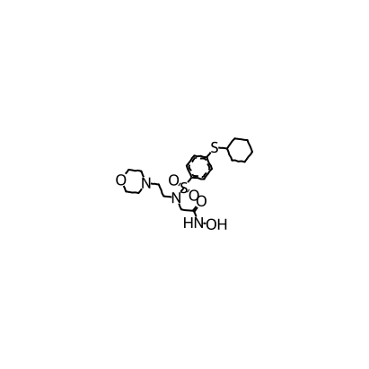 O=C(CN(CCN1CCOCC1)S(=O)(=O)c1ccc(SC2CCCCC2)cc1)NO